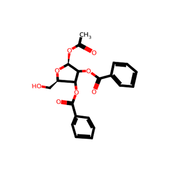 CC(=O)O[C@@H]1O[C@H](CO)C(OC(=O)c2ccccc2)C1OC(=O)c1ccccc1